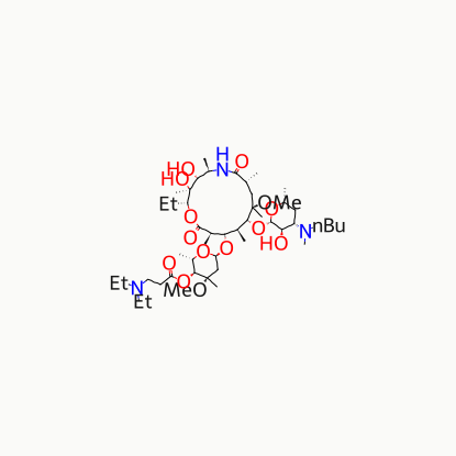 CCCCN(C)[C@H]1C[C@@H](C)O[C@@H](O[C@@H]2[C@@H](C)[C@H](O[C@H]3C[C@@](C)(OC)[C@@H](OC(=O)CCN(CC)CC)[C@H](C)O3)[C@@H](C)C(=O)O[C@H](CC)[C@@](C)(O)[C@H](O)[C@@H](C)NC(=O)[C@H](C)C[C@@]2(C)OC)[C@@H]1O